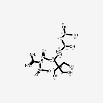 N=C(N)N([N+](=O)[O-])[N+](=O)[O-].OCC(CO)(CO)CO.OP(O)OP(O)O